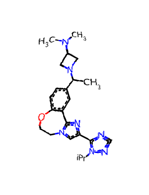 CC(c1ccc2c(c1)-c1nc(-c3ncnn3C(C)C)cn1CCO2)N1CC(N(C)C)C1